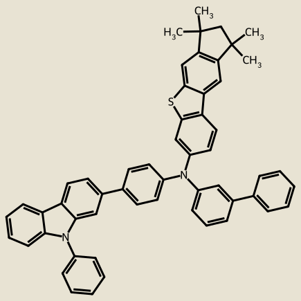 CC1(C)CC(C)(C)c2cc3c(cc21)sc1cc(N(c2ccc(-c4ccc5c6ccccc6n(-c6ccccc6)c5c4)cc2)c2cccc(-c4ccccc4)c2)ccc13